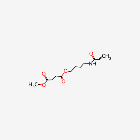 C=CC(=O)NCCCCOC(=O)CCC(=O)OC